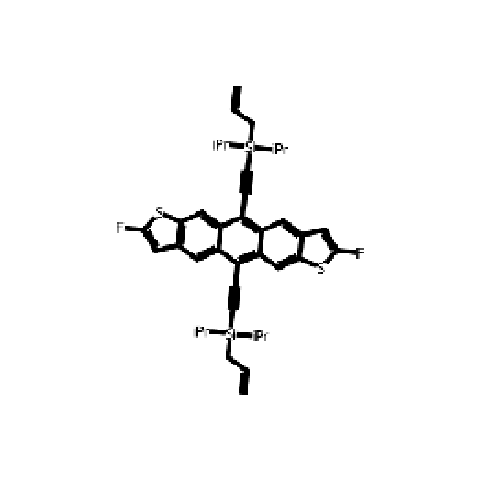 C=CC[Si](C#Cc1c2cc3cc(F)sc3cc2c(C#C[Si](CC=C)(C(C)C)C(C)C)c2cc3cc(F)sc3cc12)(C(C)C)C(C)C